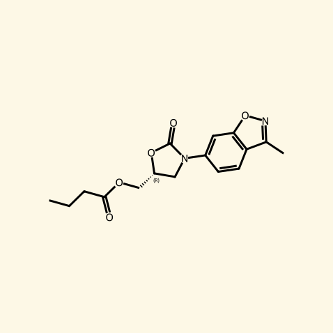 CCCC(=O)OC[C@H]1CN(c2ccc3c(C)noc3c2)C(=O)O1